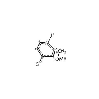 COC.Clc1ccc(I)cc1